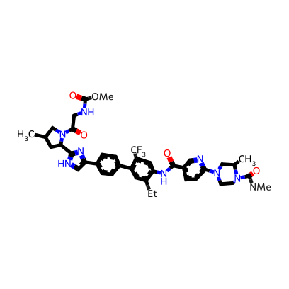 CCc1cc(-c2ccc(-c3c[nH]c(C4CC(C)CN4C(=O)CNC(=O)OC)n3)cc2)c(C(F)(F)F)cc1NC(=O)c1ccc(N2CCN(C(=O)NC)C(C)C2)nc1